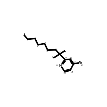 CCCCCCCC(C)(C)c1cc(Br)ccn1